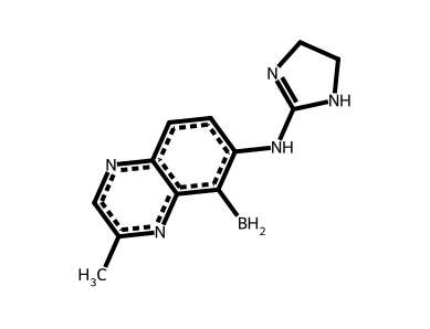 Bc1c(NC2=NCCN2)ccc2ncc(C)nc12